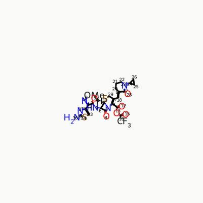 CO/N=C(\C(=O)N[C@@H]1C(=O)N2C(C(=O)OC(=O)C(F)(F)F)=C(C=C3CCCN(C4CC4)C3=O)CS[C@H]12)c1csc(N)n1